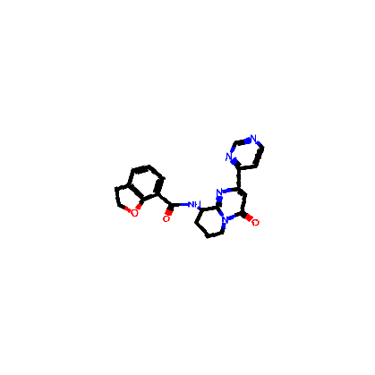 O=C(NC1CCCn2c1nc(-c1ccncn1)cc2=O)c1cccc2c1OCC2